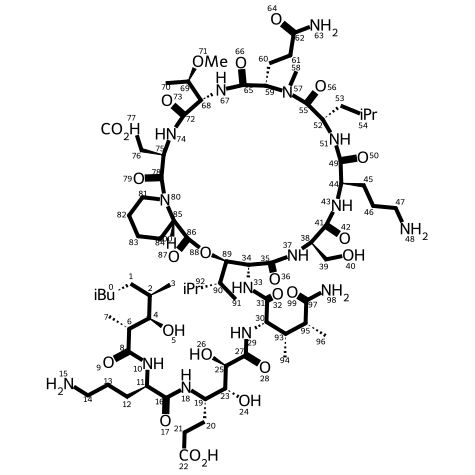 CC[C@@H](C)C[C@@H](C)[C@@H](O)[C@@H](C)C(=O)N[C@H](CCCN)C(=O)N[C@@H](CCC(=O)O)[C@@H](O)[C@@H](O)C(=O)N[C@H](C(=O)N[C@H]1C(=O)N[C@H](CO)C(=O)N[C@H](CCCN)C(=O)N[C@@H](CC(C)C)C(=O)N(C)[C@@H](CCC(N)=O)C(=O)N[C@@H]([C@@H](C)OC)C(=O)N[C@H](CC(=O)O)C(=O)N2CCCC[C@H]2C(=O)O[C@@H]1[C@H](C)C(C)C)[C@@H](C)[C@@H](C)C(N)=O